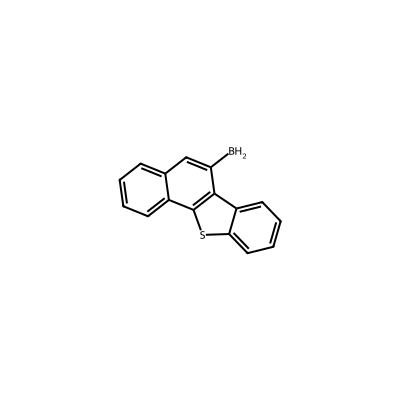 Bc1cc2ccccc2c2sc3ccccc3c12